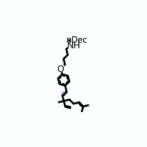 C=CC(C)(/C=C/c1ccc(OCCCCNCCCCCCCCCC)cc1)CCC=C(C)C